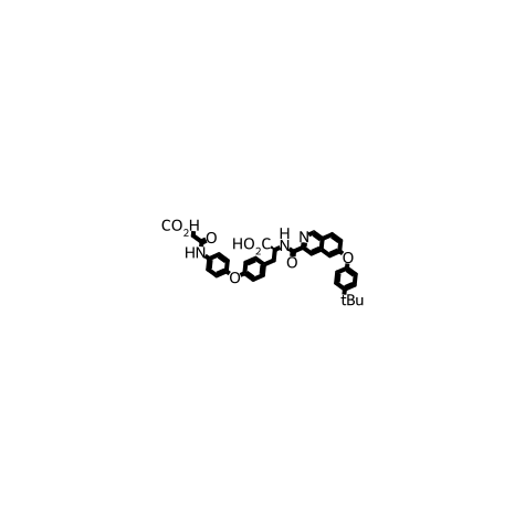 CC(C)(C)c1ccc(Oc2ccc3cnc(C(=O)N[C@@H](Cc4ccc(Oc5ccc(NC(=O)CC(=O)O)cc5)cc4)C(=O)O)cc3c2)cc1